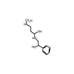 O=C(O)NCCC(O)NCC(O)c1ccccc1